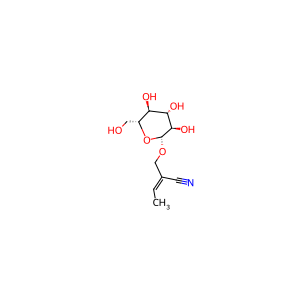 C/C=C(\C#N)CO[C@@H]1O[C@H](CO)[C@@H](O)[C@H](O)[C@H]1O